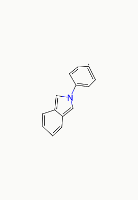 [c]1ccc(-n2cc3ccccc3c2)cc1